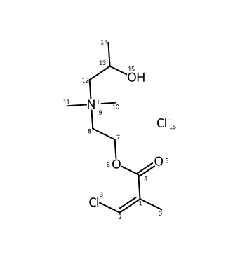 CC(=CCl)C(=O)OCC[N+](C)(C)CC(C)O.[Cl-]